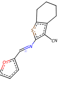 N#Cc1c(/N=C/c2ccco2)sc2c1CCCC2